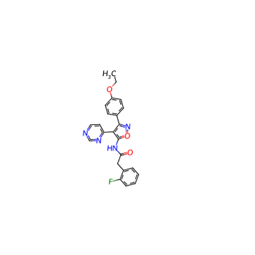 CCOc1ccc(-c2noc(NC(=O)Cc3ccccc3F)c2-c2ccncn2)cc1